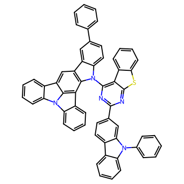 c1ccc(-c2ccc3c(c2)c2cc4c5ccccc5n5c6ccccc6c(c2n3-c2nc(-c3ccc6c7ccccc7n(-c7ccccc7)c6c3)nc3sc6ccccc6c23)c45)cc1